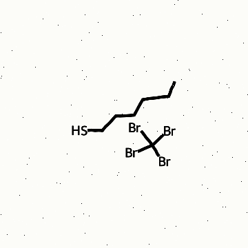 BrC(Br)(Br)Br.CCCCCCS